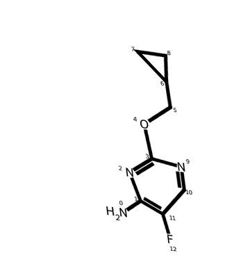 Nc1nc(OCC2CC2)ncc1F